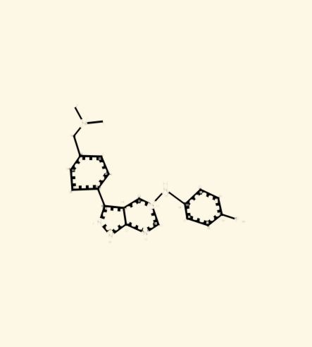 CN(C)Cc1ccc(-c2nnc3ncn(Nc4ccc(F)cc4)cc2-3)cc1